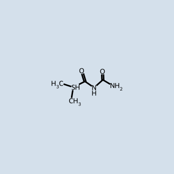 C[SH](C)C(=O)NC(N)=O